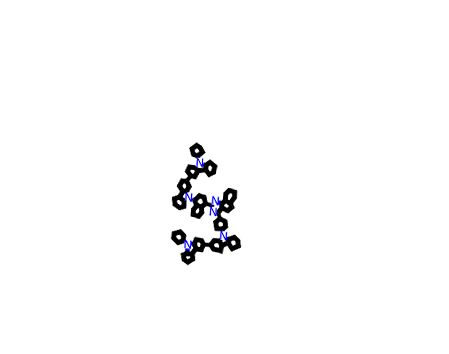 c1ccc(-n2c3ccccc3c3cc(-c4ccc5c6ccccc6n(-c6ccc(-c7nc(-c8ccc(-n9c%10ccccc%10c%10ccc(-c%11ccc%12c(c%11)c%11ccccc%11n%12-c%11ccccc%11)cc%109)c9ccccc89)nc8c7ccc7ccccc78)cc6)c5c4)ccc32)cc1